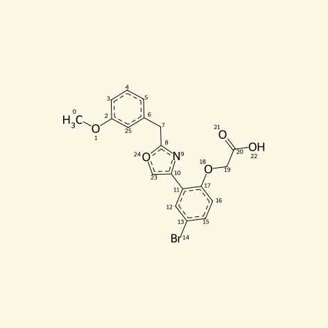 COc1cccc(Cc2nc(-c3cc(Br)ccc3OCC(=O)O)co2)c1